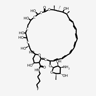 C[C@@H]1OC(=O)CC(O)CC(O)CCC(O)C(O)C[C@H](O)CC2(O)C[C@H](O)C(C(=O)NCCCCF)[C@H](CC(O[C@@H]3O[C@H](C)[C@@H](O)[C@H](N)[C@@H]3O)/C=C/C=C/C=C/C=C/C=C/C=C/C=C/[C@H](C)C(O)[C@H]1C)O2